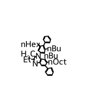 CCCCCCCCc1c(CCCC)cc(N=C(CC)C(C)=Nc2cc(CCCC)c(-c3ccccc3)c(CCCCCC)c2)cc1-c1ccccc1